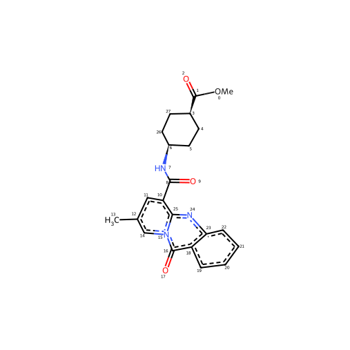 COC(=O)[C@H]1CC[C@@H](NC(=O)c2cc(C)cn3c(=O)c4ccccc4nc23)CC1